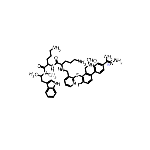 CC(Cc1c[nH]c2ccccc12)N(C)C(=O)C(CCCN)NC(=O)C(CCCN)NCc1cccnc1Sc1c(F)ccc(-c2ccc(/C(N)=N/N)cc2)c1CNC=O